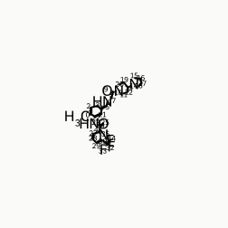 CC1=CC/C(=C\NCC(=O)N2CCC(N3CCCC3)CC2)C=C1NC(=O)c1cccc(C(F)(F)F)n1